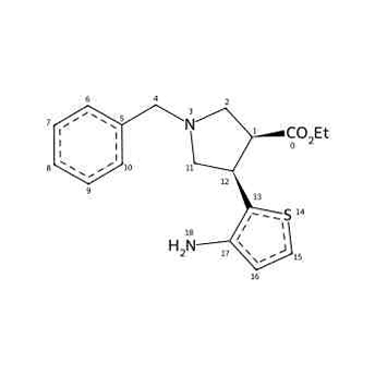 CCOC(=O)[C@@H]1CN(Cc2ccccc2)C[C@@H]1c1sccc1N